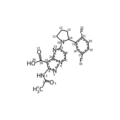 CC(=O)Nc1nn2ccc(N3CCCC3c3cc(F)ccc3F)nc2c1C(=O)O